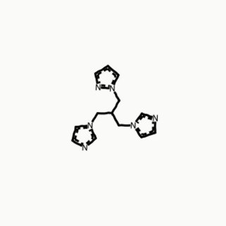 c1cnn(C[C](Cn2ccnc2)Cn2ccnc2)c1